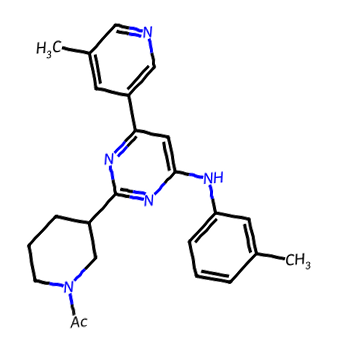 CC(=O)N1CCCC(c2nc(Nc3cccc(C)c3)cc(-c3cncc(C)c3)n2)C1